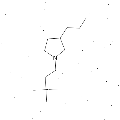 CCCC1CCN(CCC(C)(C)C)C1